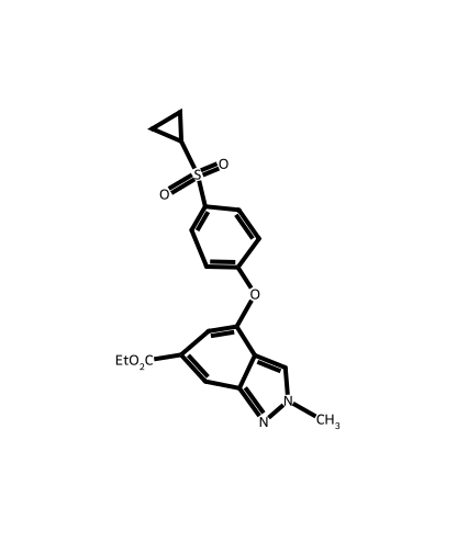 CCOC(=O)c1cc(Oc2ccc(S(=O)(=O)C3CC3)cc2)c2cn(C)nc2c1